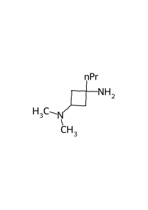 CCCC1(N)CC(N(C)C)C1